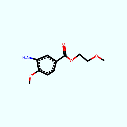 COCCOC(=O)c1ccc(OC)c(N)c1